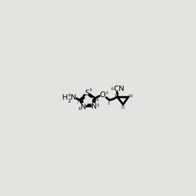 N#CC1(COc2nnc(N)s2)CC1